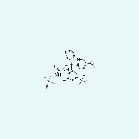 COc1ccc(C(CNC(=O)NCC(F)(F)F)(c2ccccc2)c2cc(F)cc(C(F)(F)F)c2)nc1